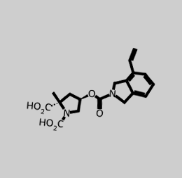 C=Cc1cccc2c1CN(C(=O)O[C@H]1CN(C(=O)O)[C@](C)(C(=O)O)C1)C2